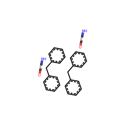 N=C=O.N=C=O.c1ccc(Cc2ccccc2)cc1.c1ccc(Cc2ccccc2)cc1